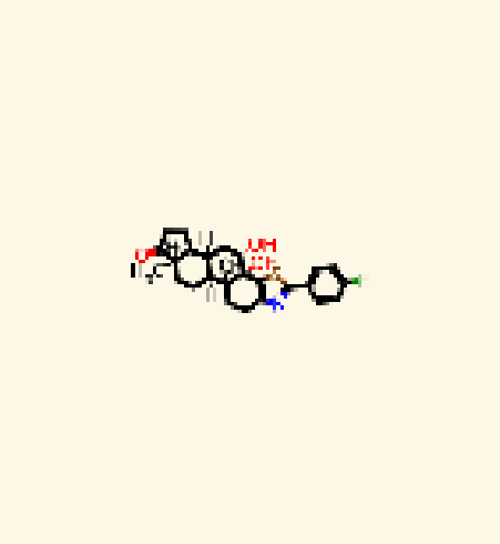 C[C@]12CC[C@H]3[C@@H](C[C@H](O)[C@@]4(O)c5sc(-c6ccc(F)cc6)nc5CC[C@]34C)[C@@H]1CCC2=O